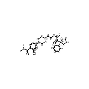 CN(C)C(=O)c1ccc(N2CCC(CCCN(C)C(=O)[C@@]3(c4ccccc4)CCCO3)CC2)nc1Cl